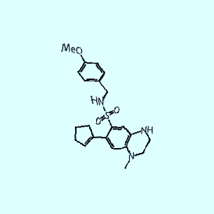 COc1ccc(CNS(=O)(=O)c2cc3c(cc2C2=CCCC2)N(C)CCN3)cc1